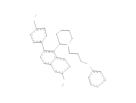 COc1ccc(-c2ccc3cc(OC)ccc3c2C2CCCCN2CCCOc2ccccc2)cc1.Cl